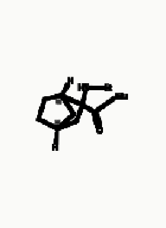 CCNC1(C(=O)C(C)(C)C)C[C@@H]2CC[C@H]1C2